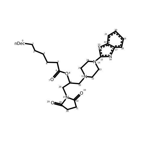 CCCCCCCCCCCCCCCC(=O)OC(CN1CCN(c2nc3ccccc3s2)CC1)CN1C(=O)CCC1=O